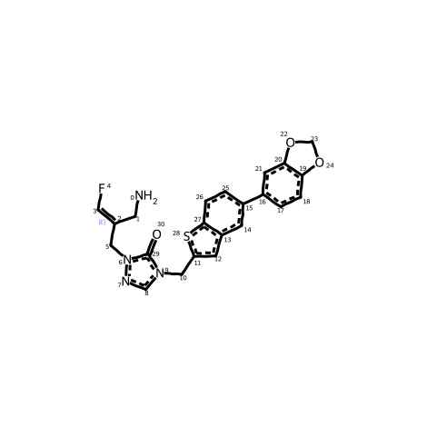 NC/C(=C\F)Cn1ncn(Cc2cc3cc(-c4ccc5c(c4)OCO5)ccc3s2)c1=O